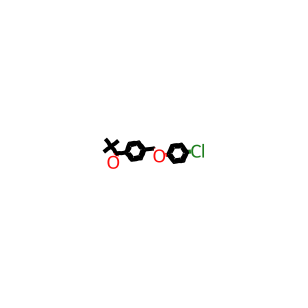 CC(C)(C)C(=O)c1ccc(COc2ccc(Cl)cc2)cc1